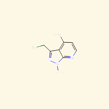 CC(C)(C)c1ccnc2c1c(CBr)nn2C(=O)O